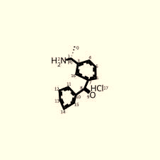 C[C@@H](N)c1cccc(C(=O)c2ccccc2)c1.Cl